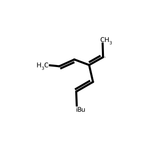 C/[C]=C(\C=CC)C=CC(C)CC